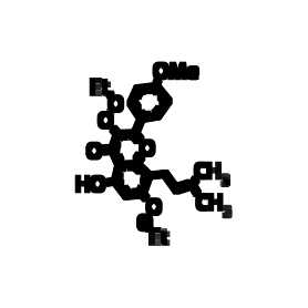 CCOOc1cc(O)c2c(=O)c(OOCC)c(-c3ccc(OC)cc3)oc2c1CC=C(C)C